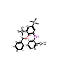 C[Si](C)(C)c1cc(Pc2ccccc2C=O)c(OCc2ccccc2)c([Si](C)(C)C)c1